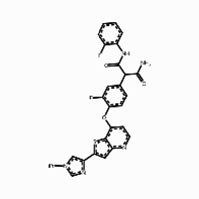 CC(C)n1cnc(-c2cc3nccc(Oc4ccc(C(C(N)=O)C(=O)Nc5ccccc5F)cc4F)c3s2)c1